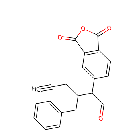 C#CCC(Cc1ccccc1)C(C=O)c1ccc2c(c1)C(=O)OC2=O